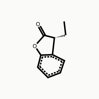 CC[C@H]1C(=O)Oc2ccccc21